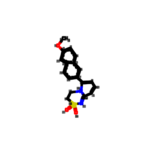 COc1ccc2cc(C3=CC=CC4=NS(=O)(=O)CCN34)ccc2c1